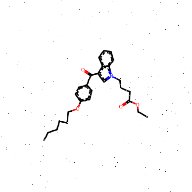 CCCCCCOc1ccc(C(=O)c2cn(CCCC(=O)OCC)c3ccccc23)cc1